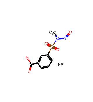 CN(N=O)S(=O)(=O)c1cccc(C(=O)[O-])c1.[Na+]